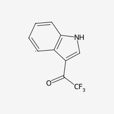 O=C(c1c[nH]c2ccc[c]c12)C(F)(F)F